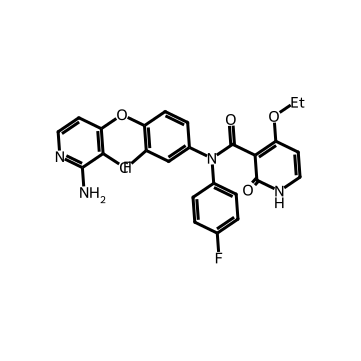 CCOc1cc[nH]c(=O)c1C(=O)N(c1ccc(F)cc1)c1ccc(Oc2ccnc(N)c2Cl)c(F)c1